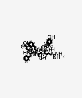 N=C(N)NCCCC(NC(=O)C(CO)NC(=O)C(Cc1ccccc1)NC(=O)[C@H](CC1CCCCC1)NC(=O)CCC(=O)O)C(=O)N[C@@H](Cc1ccc(O)cc1)C(N)=O